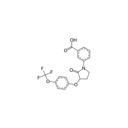 O=C(O)c1cccc(N2CCC(Oc3ccc(OC(F)(F)F)cc3)C2=O)c1